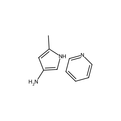 Cc1cc(N)c[nH]1.c1ccncc1